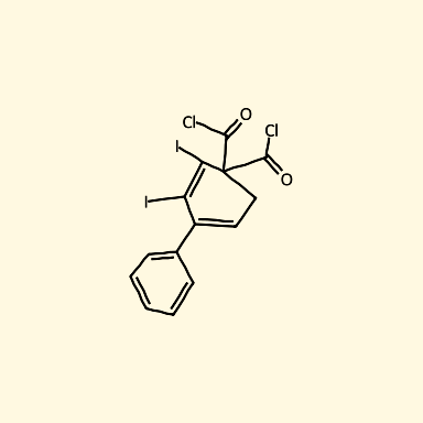 O=C(Cl)C1(C(=O)Cl)CC=C(c2ccccc2)C(I)=C1I